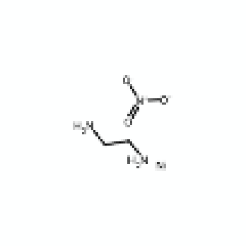 NCCN.O=[N+]([O-])[O-].[Ni]